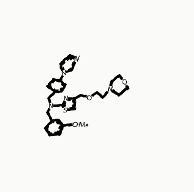 COc1cccc(CN(Cc2ccc(-n3ccnc3)cc2)c2nc(COCCN3CCOCC3)cs2)c1